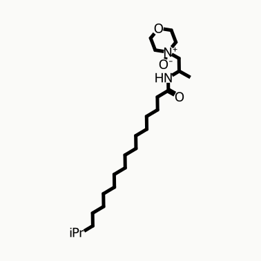 CC(C)CCCCCCCCCCCCCCC(=O)NC(C)C[N+]1([O-])CCOCC1